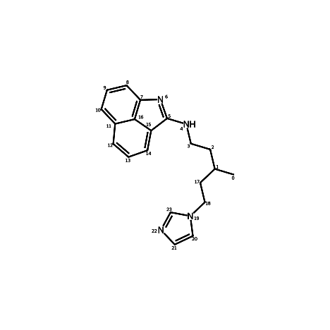 CC(CCNC1=Nc2cccc3cccc1c23)CCn1ccnc1